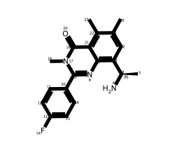 Cc1cc([C@@H](C)N)c2nc(-c3ccc(F)cc3)n(C)c(=O)c2c1C